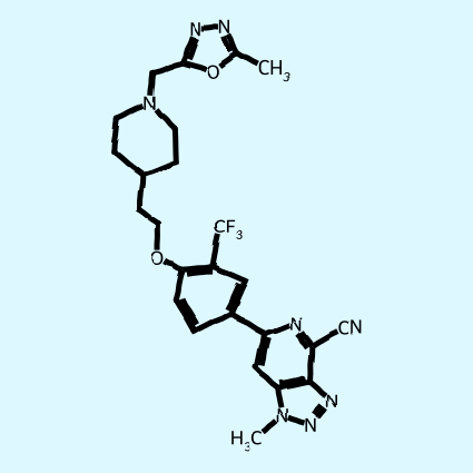 Cc1nnc(CN2CCC(CCOc3ccc(-c4cc5c(nnn5C)c(C#N)n4)cc3C(F)(F)F)CC2)o1